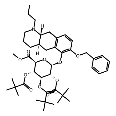 CCCN1CCC[C@@H]2Cc3c(ccc(OCc4ccccc4)c3O[C@@H]3O[C@H](C(=O)OC)[C@@H](OC(=O)C(C)(C)C)[C@H](OC(=O)C(C)(C)C)[C@H]3OC(=O)C(C)(C)C)C[C@H]21